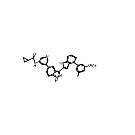 COc1cc(F)cc(-c2cccc3[nH]c(-c4n[nH]c5ccc(-c6cncc(NC(=O)C7CC7)c6)cc45)cc23)c1